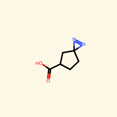 O=C(O)C1CCC2(C1)N=N2